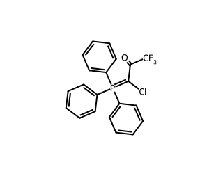 O=C(C(Cl)=P(c1ccccc1)(c1ccccc1)c1ccccc1)C(F)(F)F